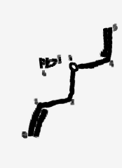 C=CCOC=C.[Pb]